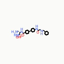 NC[C@H](NC(=O)c1ccc(-c2ccc(NC(=O)CNCc3ccccc3)cc2)cc1)C(=O)NO